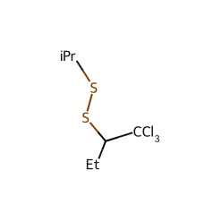 CCC(SSC(C)C)C(Cl)(Cl)Cl